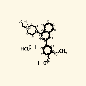 CCN1CCN(c2nc(-c3ccc(OC)c(OC)c3)cc3ccccc23)CC1.Cl.Cl